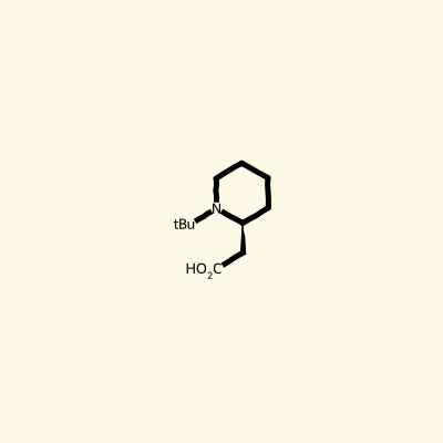 CC(C)(C)N1CCCC[C@H]1CC(=O)O